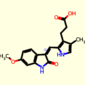 COc1ccc2c(c1)NC(=O)/C2=C\c1[nH]cc(C)c1CCC(=O)O